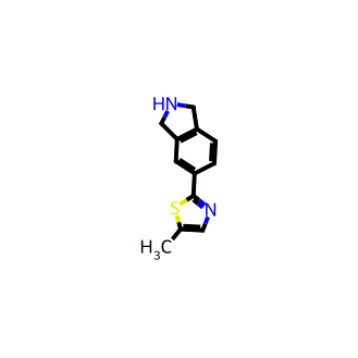 Cc1cnc(-c2ccc3c(c2)CNC3)s1